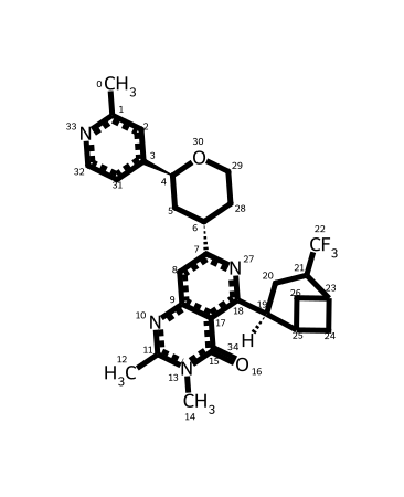 Cc1cc([C@@H]2C[C@@H](c3cc4nc(C)n(C)c(=O)c4c([C@H]4CC(C(F)(F)F)C5CC4C5)n3)CCO2)ccn1